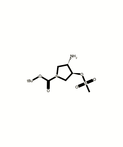 CC(C)(C)OC(=O)N1C[C@H](OS(C)(=O)=O)[C@@H](N)C1